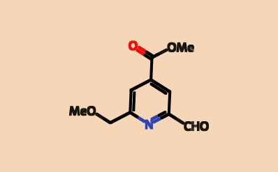 COCc1cc(C(=O)OC)cc(C=O)n1